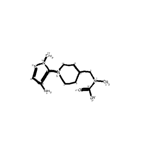 CN(CC1CCN(c2c(N)cnn2C)CC1)C(=O)O